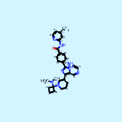 CN(C)C1(N2CCCC(C3=C4C=NC=C[N+]4(N)C(c4ccc(C(=O)Nc5cc(C(F)(F)F)ccn5)cc4)=N3)C2)CCC1